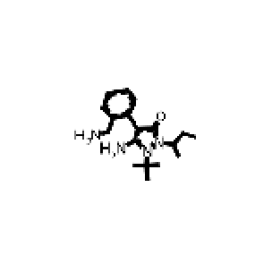 CCC(C)n1c(=O)c(-c2ccccc2CN)c(N)n1C(C)(C)C